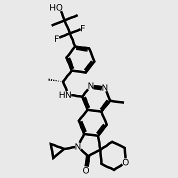 Cc1nnc(N[C@H](C)c2cccc(C(F)(F)C(C)(C)O)c2)c2cc3c(cc12)C1(CCOCC1)C(=O)N3C1CC1